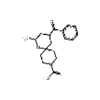 CC1CN(C(=O)c2ccccc2)CC2(CCN(C(=O)O)CC2)O1